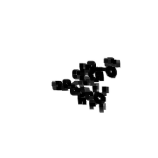 CCC(C(=O)NC(CC(=O)OC(C)(C)C)[C@H](O)COc1c(F)c(F)cc(F)c1F)c1ccnn(Cc2ccccc2C(C)(C)C)c1=O